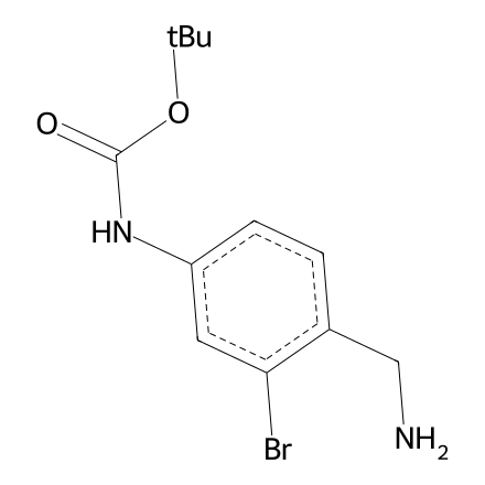 CC(C)(C)OC(=O)Nc1ccc(CN)c(Br)c1